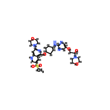 CS(=O)(=O)c1cnc2cc(N3CCOCC3)nc(O[C@H]3CC[C@@H](Nc4ncc(OCC(=O)N5CCOCC5)cn4)CC3)c2c1